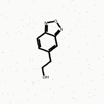 OCCc1ccc2nonc2c1